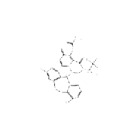 CC(=O)Oc1c2n(ccc1=O)N([C@@H]1c3ccc(F)cc3CSc3c(Cl)cccc31)CN([C@H](C)C(F)(F)F)C2=O